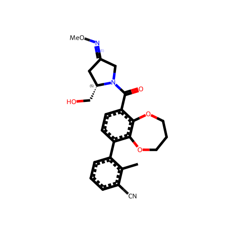 CO/N=C1\C[C@@H](CO)N(C(=O)c2ccc(-c3cccc(C#N)c3C)c3c2OCCCO3)C1